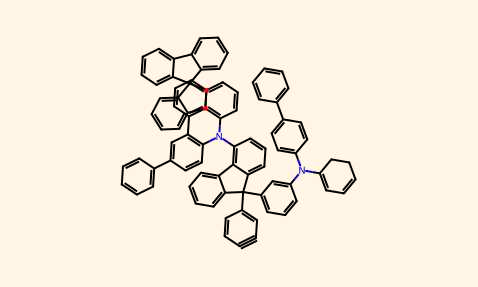 c1ccc(C2(c3cccc(N(C4=CC=CCC4)c4ccc(-c5ccccc5)cc4)c3)c3ccccc3-c3c(N(c4ccc(-c5ccccc5)cc4-c4ccccc4)c4cccc5c4-c4ccccc4C54c5ccccc5-c5ccccc54)cccc32)cc#1